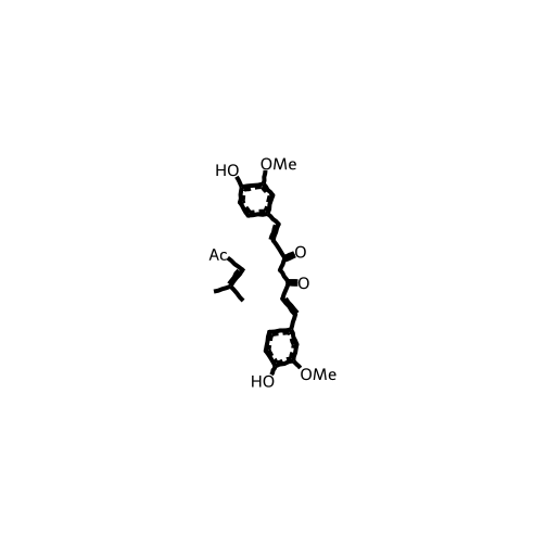 CC(=O)C=C(C)C.COc1cc(C=CC(=O)CC(=O)C=Cc2ccc(O)c(OC)c2)ccc1O